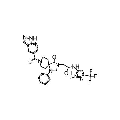 Cn1nc(C(F)(F)F)cc1NC(O)CN1CN(c2ccccc2)C2(CCN(C(=O)c3cnc4[nH]ncc4c3)CC2)C1=O